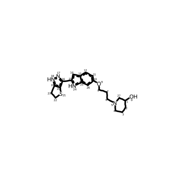 OC1CCCN(CCCOc2ccc3cc(-c4n[nH]c5c4SCC5)[nH]c3c2)C1